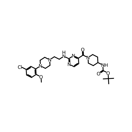 COc1ccc(Cl)cc1N1CCN(CCNc2nccc(C(=O)N3CCC(NC(=O)OC(C)(C)C)CC3)n2)CC1